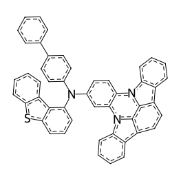 c1ccc(-c2ccc(N(c3ccc4c(c3)n3c5ccccc5c5ccc6c7ccccc7n4c6c53)c3cccc4sc5ccccc5c34)cc2)cc1